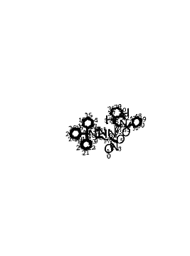 CON(C)C(=O)[C@H](Cc1cn(C(c2ccccc2)(c2ccccc2)c2ccccc2)cn1)NC[C@H]1C[C@@H]2CCCC[C@H]2CN1C(=O)c1ccccc1